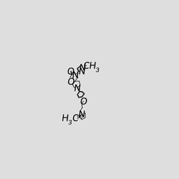 C[C@@H]1CCCN1CCCOc1ccc(N2CCC3(CC2)CN(c2ccn(C)n2)C(=O)CO3)cc1